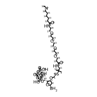 B[C@H]1C[C@@H](OCSSC(C)(C)CNC(=O)CCOCCOCCOCCOCCNC(=O)CCCCCN=C)[C@@H](COP(=O)(O)OP(=O)(O)OP(=O)(O)O)O1